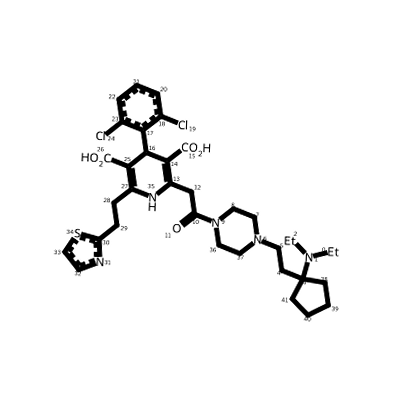 CCN(CC)C1(CCN2CCN(C(=O)CC3=C(C(=O)O)C(c4c(Cl)cccc4Cl)C(C(=O)O)=C(CCc4nccs4)N3)CC2)CCCC1